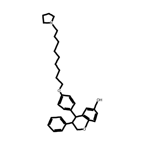 Oc1ccc2c(c1)C(c1ccc(OCCCCCCCCCN3CCCC3)cc1)C(c1ccccc1)CO2